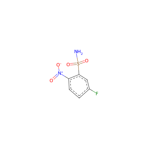 NS(=O)(=O)c1cc(F)ccc1[N+](=O)[O-]